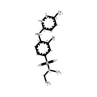 CN(CP)S(=O)(=O)c1ccc(Nc2ccc(C(F)(F)F)nn2)c(Br)c1